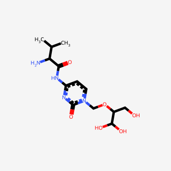 CC(C)C(N)C(=O)Nc1ccn(COC(CO)C(O)O)c(=O)n1